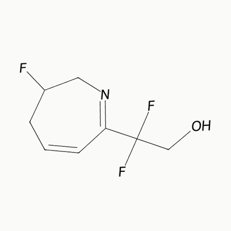 OCC(F)(F)C1=NCC(F)CC=C1